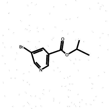 CC(C)OC(=O)c1cncc(Br)c1